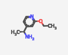 CCOc1cc([C@H](C)N)ccn1